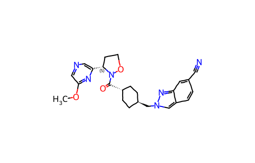 COc1cncc([C@@H]2CCON2C(=O)[C@H]2CC[C@H](Cn3cc4ccc(C#N)cc4n3)CC2)n1